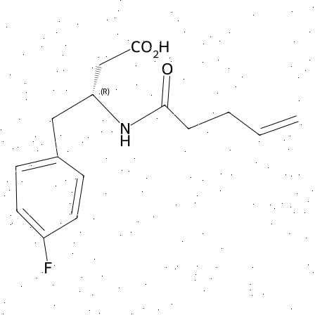 C=CCCC(=O)N[C@@H](CC(=O)O)Cc1ccc(F)cc1